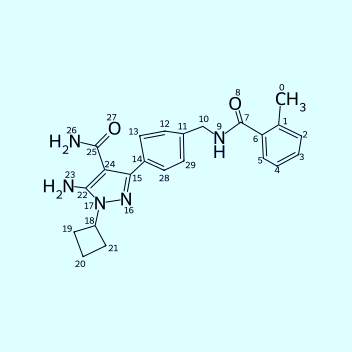 Cc1ccccc1C(=O)NCc1ccc(-c2nn(C3CCC3)c(N)c2C(N)=O)cc1